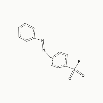 O=S(=O)(F)c1ccc(N=Nc2ccccc2)cc1